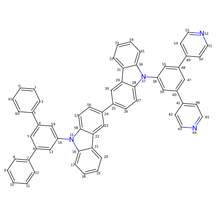 c1ccc(-c2cc(-c3ccccc3)cc(-n3c4ccccc4c4cc(-c5ccc6c(c5)c5ccccc5n6-c5cc(-c6ccncc6)cc(-c6ccncc6)c5)ccc43)c2)cc1